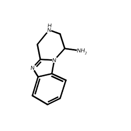 NC1CNCc2nc3ccccc3n21